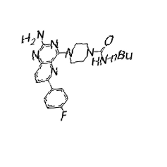 CCCCNC(=O)N1CCN(c2nc(N)nc3ccc(-c4ccc(F)cc4)nc23)CC1